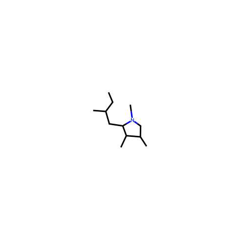 CCC(C)CC1C(C)C(C)CN1C